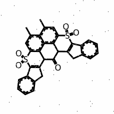 Cc1cc2c3c4c5c(cc(C)c14)S(=O)(=O)C1=C(Cc4ccccc41)C5C(=O)C3C1=C(c3ccccc3C1)S2(=O)=O